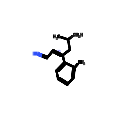 Cc1ccccc1/C(=C\C=N)CC(C)C(=O)O